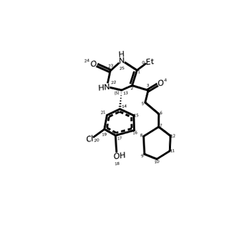 CCC1=C(C(=O)CCC2CCCCC2)[C@H](c2ccc(O)c(Cl)c2)NC(=O)N1